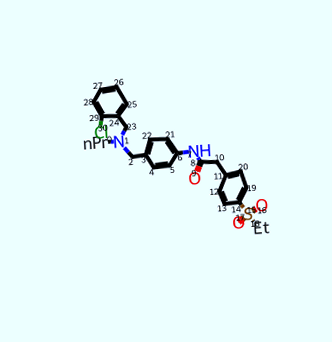 CCCN(Cc1ccc(NC(=O)Cc2ccc(S(=O)(=O)CC)cc2)cc1)Cc1ccccc1Cl